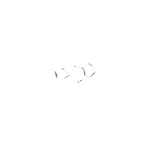 CCOc1ccc(C(CC(C)=O)c2ccc(C)cc2C)cc1